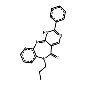 CCCN1C(=O)C2=CN=C(c3ccccc3)NC2=Nc2ccccc21